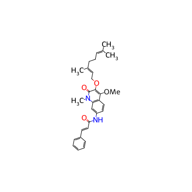 COc1c(OC/C=C(\C)CCC=C(C)C)c(=O)n(C)c2cc(NC(=O)C=Cc3ccccc3)ccc12